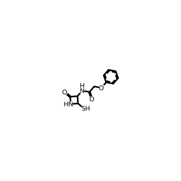 O=C(COc1ccccc1)NC1C(=O)NC1S